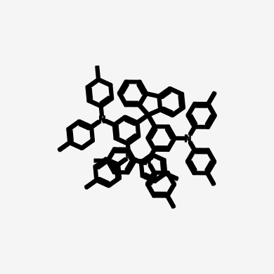 CC1=CC=C(N(C2=CCC(C)C=C2)c2cc(N(c3ccc(C)cc3)c3ccc(C)cc3)cc(C3(c4cc(N(C5=CC=C(C)CC5)c5ccc(C)cc5)cc(N(c5ccc(C)cc5)c5ccc(C)cc5)c4)c4ccccc4-c4ccccc43)c2)CC1